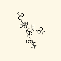 C=C(C)C(=O)OCCNC(=O)OCC(CSCCC(=O)OCC(F)(F)F)OC(=O)NCCOC(=O)C(=C)C